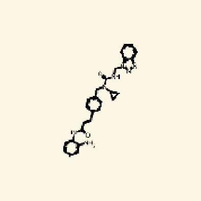 Nc1ccccc1NC(=O)/C=C/c1ccc(CN(C(=O)NCn2nnc3ccccc32)C2CC2)cc1